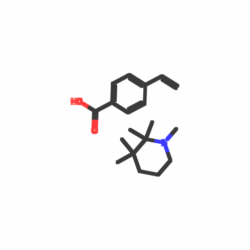 C=Cc1ccc(C(=O)O)cc1.CN1CCCC(C)(C)C1(C)C